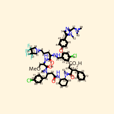 COCC(NC(=O)C(CCCN1CC(F)(F)C(F)(F)C1)NCc1ccc(Cl)cc1Oc1ccc(-c2cnc(CN(C)C)n2C)cc1)C(=O)N(C)C(CC(=O)N[C@H]1CCCC[C@@H]1N(C)C(=O)C(CC(=O)O)Cc1ccccc1)Cc1ccc(Cl)cc1